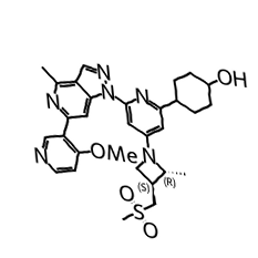 COc1ccncc1-c1cc2c(cnn2-c2cc(N3C[C@H](CS(C)(=O)=O)[C@H]3C)cc(C3CCC(O)CC3)n2)c(C)n1